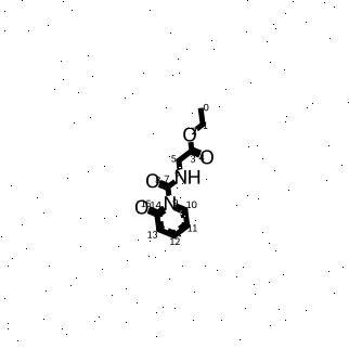 CCOC(=O)CNC(=O)n1cc[c]cc1=O